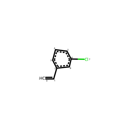 [CH]=Cc1cccc(Cl)c1